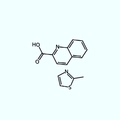 Cc1nccs1.O=C(O)c1ccc2ccccc2n1